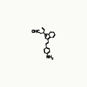 C=CC(CC=O)[N+]1=CC(/C=C/c2ccc(N)cc2)=C2C=CC=CC21